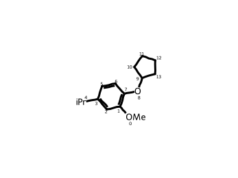 COc1cc(C(C)C)ccc1OC1CCCC1